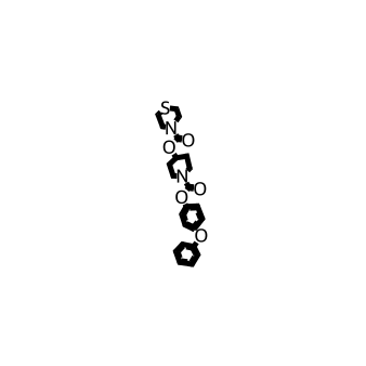 O=C(Oc1ccc(Oc2ccccc2)cc1)N1CCC(OC(=O)N2CCSCC2)CC1